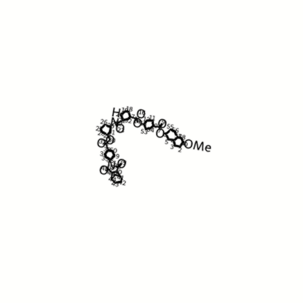 COc1ccc2cc(OC(=O)c3ccc(OC(=O)c4cccc(C(=O)Nc5cccc(OC(=O)c6ccc(N7C(=O)C8C9C=CC(C9)C8C7=O)cc6)c5)c4)cc3)ccc2c1